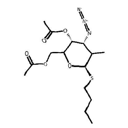 CCCCS[C@H]1OC(COC(C)=O)[C@H](OC(C)=O)[C@H](N=[N+]=[N-])C1C